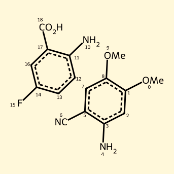 COc1cc(N)c(C#N)cc1OC.Nc1ccc(F)cc1C(=O)O